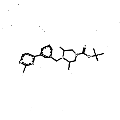 CC1CN(C(=O)OC(C)(C)C)CC(C)N1Cc1cccc(-c2ccnc(Cl)n2)c1